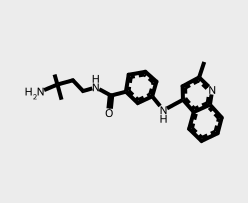 Cc1cc(Nc2cccc(C(=O)NCCC(C)(C)N)c2)c2ccccc2n1